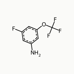 Nc1cc(F)cc(OC(F)(F)F)c1